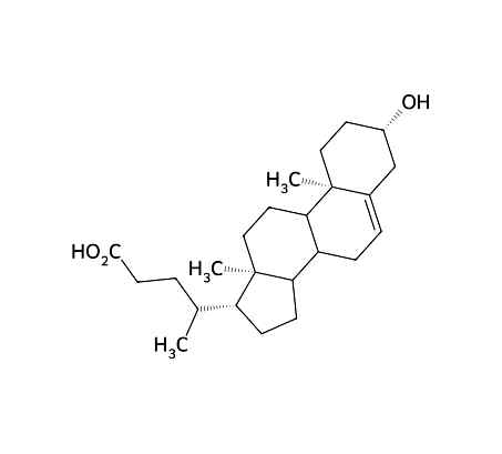 CC(CCC(=O)O)[C@H]1CCC2C3CC=C4C[C@@H](O)CC[C@]4(C)C3CC[C@@]21C